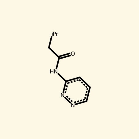 CC(C)CC(=O)Nc1cccnn1